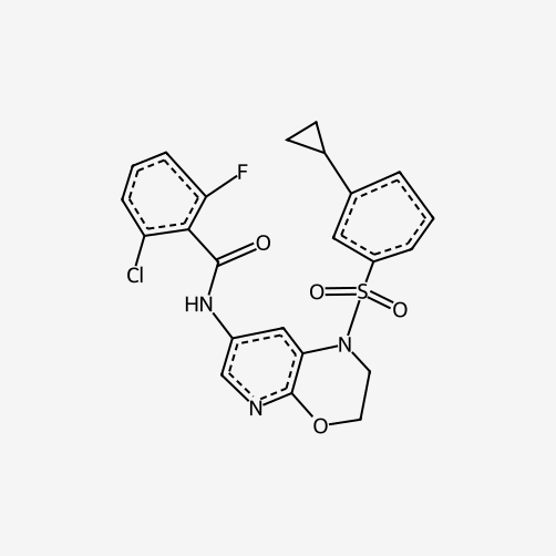 O=C(Nc1cnc2c(c1)N(S(=O)(=O)c1cccc(C3CC3)c1)CCO2)c1c(F)cccc1Cl